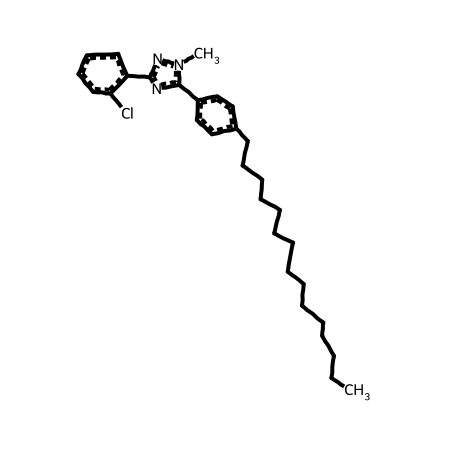 CCCCCCCCCCCCCCCc1ccc(-c2nc(-c3ccccc3Cl)nn2C)cc1